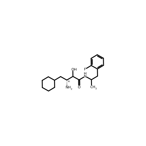 CC(Cc1ccccc1F)NC(=O)C(O)[C@H](N)CC1CCCCC1